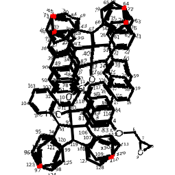 CC(CCCOCC1CO1)(O[Si](OC(C(c1ccccc1)c1ccccc1)(C(c1ccccc1)c1ccccc1)C(C(c1ccccc1)c1ccccc1)(C(c1ccccc1)c1ccccc1)C(c1ccccc1)c1ccccc1)(c1ccccc1)c1ccccc1)C(C(c1ccccc1)c1ccccc1)(C(c1ccccc1)c1ccccc1)C(c1ccccc1)c1ccccc1